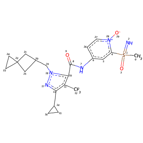 CS(=N)(=O)c1cc(NC(=O)c2c(C(F)(F)F)c(C3CC3)nn2CC2CC3(CC3)C2)cc[n+]1[O-]